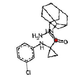 NC(=O)C12CC3CC(C1)C(NC(=O)C1(Nc4cccc(Cl)c4)CC1)C(C3)C2